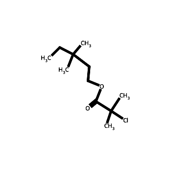 CCC(C)(C)CCOC(=O)C(C)(C)Cl